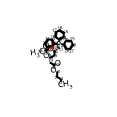 CCCCOC(=O)C[C@H]1C[C@@H](C=P(c2ccccc2)(c2ccccc2)c2ccccc2)OC(C)(C)O1